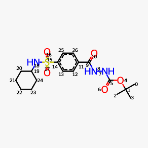 CC(C)(C)OC(=O)NNC(=O)c1ccc(S(=O)(=O)NC2CCCCC2)cc1